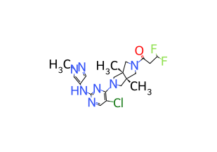 Cn1cc(Nc2ncc(Cl)c(N3C[C@]4(C)CN(C(=O)CC(F)F)C[C@]4(C)C3)n2)cn1